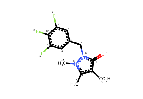 Cc1c(C(=O)O)c(=O)n(Cc2cc(F)c(F)c(F)c2)n1C